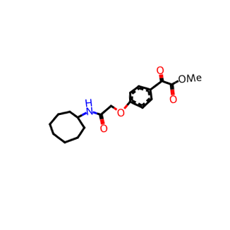 COC(=O)C(=O)c1ccc(OCC(=O)NC2CCCCCCC2)cc1